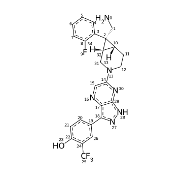 NC[C@]1(c2ccccc2F)[C@@H]2CCN(c3cnc4c(-c5ccc(O)c(C(F)(F)F)c5)n[nH]c4n3)C[C@@H]21